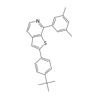 Cc1cc(C)cc(-c2nccc3cc(-c4ccc(C(C)(C)C)cc4)sc23)c1